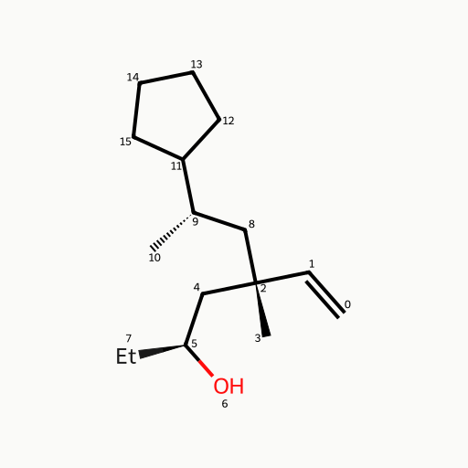 C=C[C@](C)(C[C@@H](O)CC)C[C@H](C)C1CCCC1